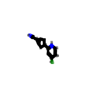 N#CC1C2C=C(c3cc(Cl)ccn3)CC12